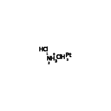 Cl.Cl.N.[Pt]